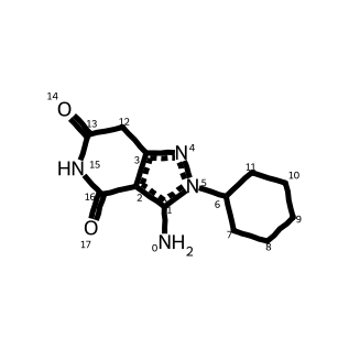 Nc1c2c(nn1C1CCCCC1)CC(=O)NC2=O